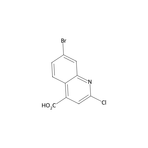 O=C(O)c1cc(Cl)nc2cc(Br)ccc12